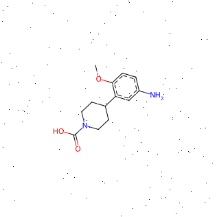 COc1ccc(N)cc1C1CCN(C(=O)O)CC1